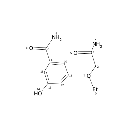 CCOCC(N)=O.NC(=O)c1cccc(O)c1